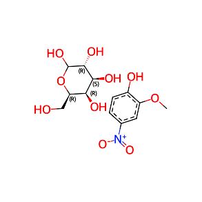 COc1cc([N+](=O)[O-])ccc1O.OC[C@H]1OC(O)[C@H](O)[C@@H](O)[C@H]1O